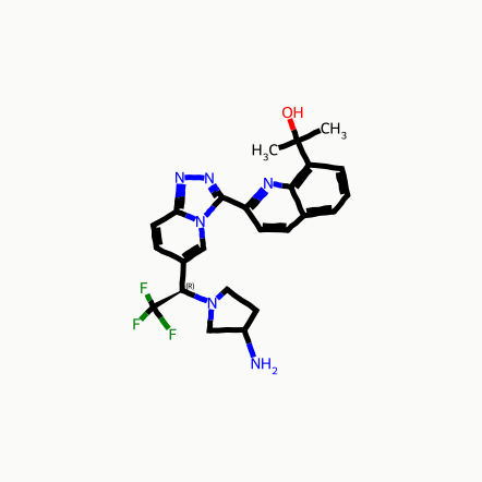 CC(C)(O)c1cccc2ccc(-c3nnc4ccc([C@@H](N5CCC(N)C5)C(F)(F)F)cn34)nc12